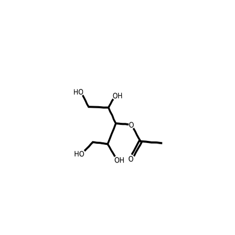 CC(=O)OC(C(O)CO)C(O)CO